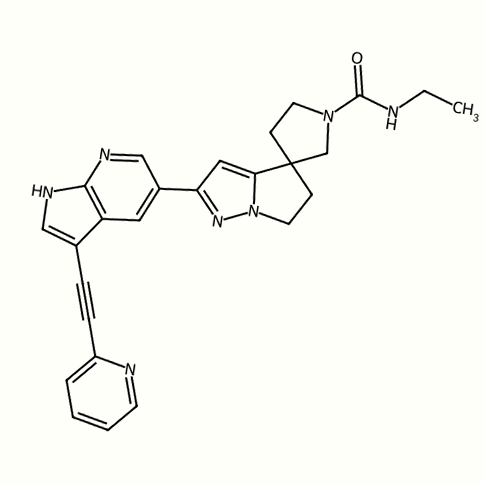 CCNC(=O)N1CCC2(CCn3nc(-c4cnc5[nH]cc(C#Cc6ccccn6)c5c4)cc32)C1